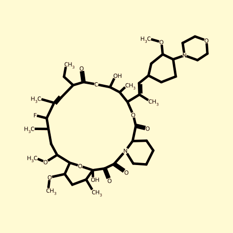 CCC1/C=C(\C)C(F)C(C)CC(OC)C2OC(O)(C(=O)C(=O)N3CCCCC3C(=O)OC(C(C)=CC3CCC(N4CCOCC4)C(OC)C3)C(C)C(O)CC1=O)C(C)CC2OC